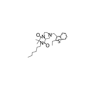 CCCCCCN1C(=O)C2CN(Cc3c(CC)sc4ccccc34)CCN2C(=O)C1(C)C